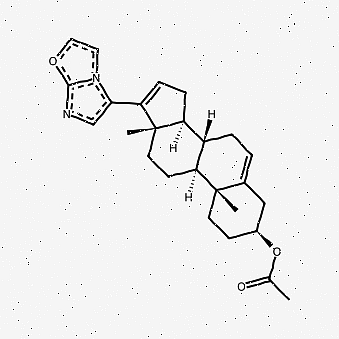 CC(=O)O[C@H]1CC[C@@]2(C)C(=CC[C@@H]3[C@@H]2CC[C@]2(C)C(c4cnc5occn45)=CC[C@@H]32)C1